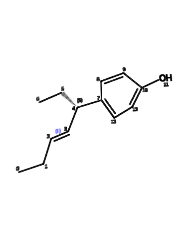 CC/C=C/[C@H](CC)c1ccc(O)cc1